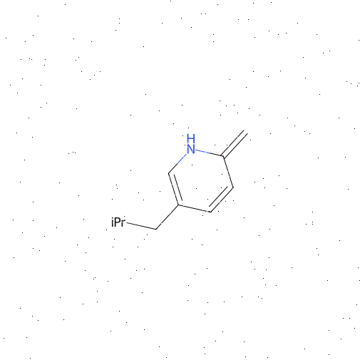 C=C1C=CC(CC(C)C)=CN1